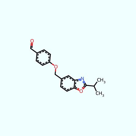 CC(C)c1nc2cc(COc3ccc(C=O)cc3)ccc2o1